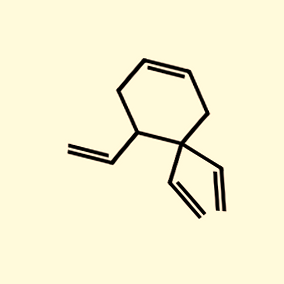 C=CC1CC=CCC1(C=C)C=C